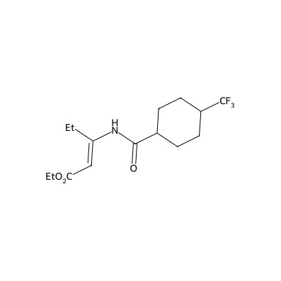 CCOC(=O)C=C(CC)NC(=O)C1CCC(C(F)(F)F)CC1